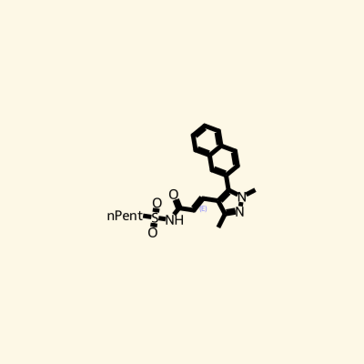 CCCCCS(=O)(=O)NC(=O)/C=C/c1c(C)nn(C)c1-c1ccc2ccccc2c1